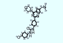 COc1ccc(NC(=O)Nc2ccc(-c3nc(N4CCOCC4)c4cc(CN(C)C)cn4n3)cc2)cc1